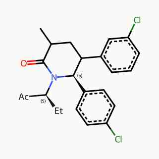 CC[C@@H](C(C)=O)N1C(=O)C(C)CC(c2cccc(Cl)c2)[C@H]1c1ccc(Cl)cc1